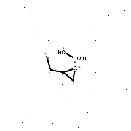 BrCC1CO1.O=C(O)O